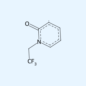 O=c1[c]cccn1CC(F)(F)F